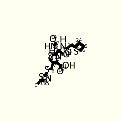 Cc1nnc(SCC2=C(C(=O)O)N3C(=O)[C@@](NC=O)(NC(=O)Cc4cccs4)[C@H]3SC2)s1